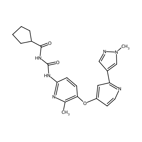 Cc1nc(NC(=O)NC(=O)C2CCCC2)ccc1Oc1ccnc(-c2cnn(C)c2)c1